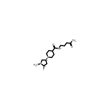 CC(=O)CCCNC(=O)C1CCN([C@H]2C[C@@H](I)N(C)C2)CC1